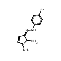 NC1C(=NNc2ccc(Br)cc2)C=NN1N